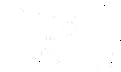 O=C(O)C(Br)Cc1ccc(O)cc1